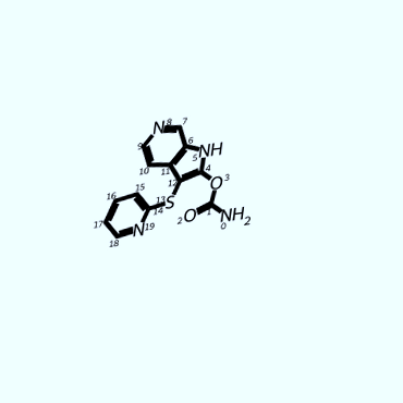 NC(=O)Oc1[nH]c2cnccc2c1Sc1ccccn1